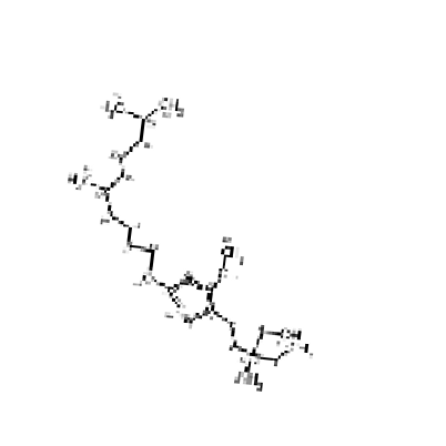 CC[C@@](N)(CO)CCc1ccc(OCCCCC(C)CCCC(C)C)cc1OC